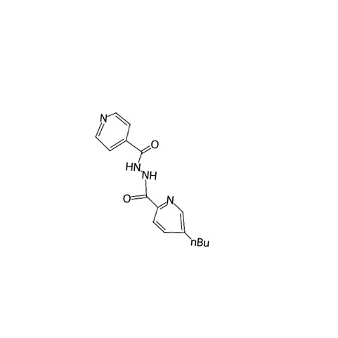 CCCCc1ccc(C(=O)NNC(=O)c2ccncc2)nc1